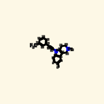 Cc1ccc2c(c1)c1c(n2C#Cc2cccc(C(F)(F)F)c2)CCN(C)C1